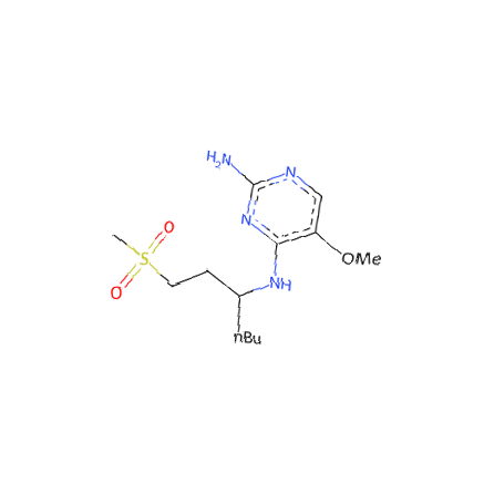 CCCCC(CCS(C)(=O)=O)Nc1nc(N)ncc1OC